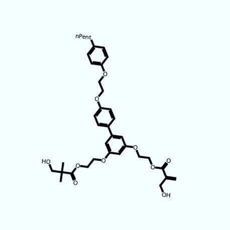 C=C(CO)C(=O)OCCOc1cc(OCCOC(=O)C(C)(C)CO)cc(-c2ccc(OCCOc3ccc(CCCCC)cc3)cc2)c1